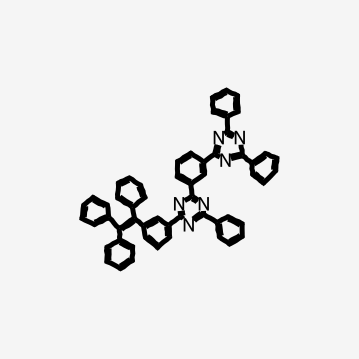 c1ccc(C(=C(c2ccccc2)c2cccc(-c3nc(-c4ccccc4)nc(-c4cccc(-c5nc(-c6ccccc6)nc(-c6ccccc6)n5)c4)n3)c2)c2ccccc2)cc1